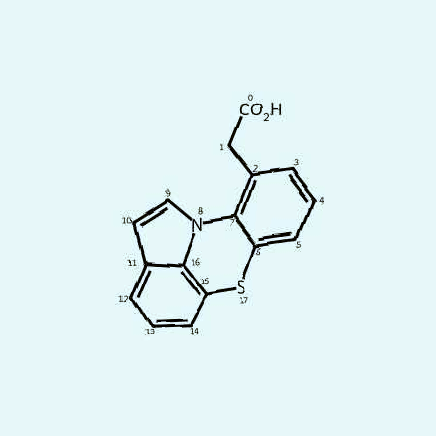 O=C(O)Cc1cccc2c1-n1ccc3cccc(c31)S2